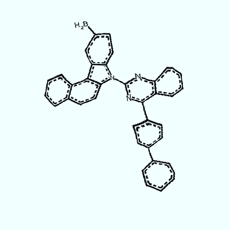 Bc1ccc2c(c1)c1c3ccccc3ccc1n2-c1nc(-c2ccc(-c3ccccc3)cc2)c2ccccc2n1